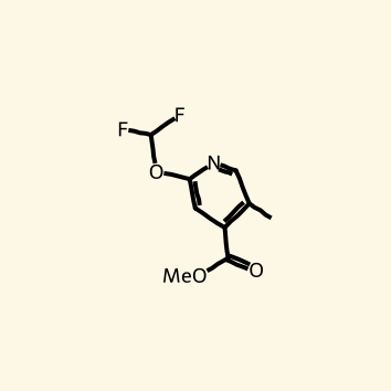 COC(=O)c1cc(OC(F)F)ncc1C